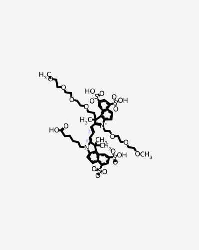 COCCOCCOCCOCCC1(C)C(/C=C/C=C2/N(CCCCCC(=O)O)c3ccc4c(S(=O)(=O)[O-])cc(S(=O)(=O)O)cc4c3C2(C)C)=[N+](CCOCCOCCOC)c2ccc3c(S(=O)(=O)O)cc(S(=O)(=O)O)cc3c21